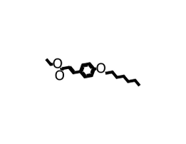 CCCCCCCOc1ccc(C=CC(=O)OCC)cc1